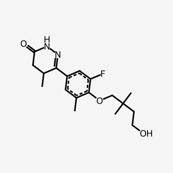 Cc1cc(C2=NNC(=O)CC2C)cc(F)c1OCC(C)(C)CCO